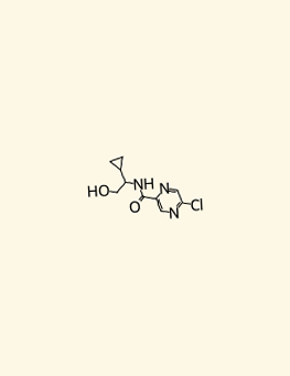 O=C(NC(CO)C1CC1)c1cnc(Cl)cn1